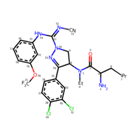 CCN(C(=O)C(N)CC(C)C)C1CN(C(=NC#N)Nc2cccc(OC(F)(F)F)c2)N=C1c1ccc(Cl)c(Cl)c1